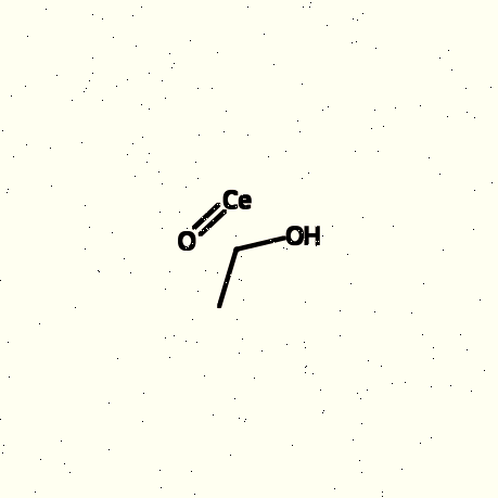 CCO.[O]=[Ce]